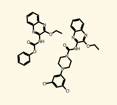 CCOc1nc2ccccc2nc1NC(=O)N1CCN(c2cc(Cl)cc(Cl)c2)CC1.CCOc1nc2ccccc2nc1NC(=O)Oc1ccccc1